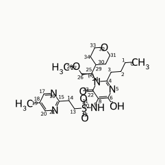 CCCCc1nc(O)c(NS(=O)(=O)CCc2ncc(C)cn2)c(=O)n1[C@@H](COC)C1CCOCC1